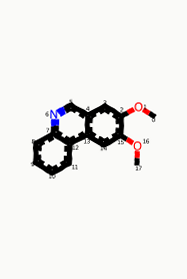 COc1cc2cnc3ccccc3c2cc1OC